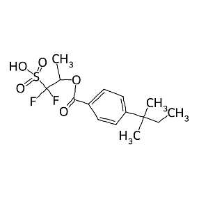 CCC(C)(C)c1ccc(C(=O)OC(C)C(F)(F)S(=O)(=O)O)cc1